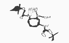 CC(C)(C)OC(=O)Nc1cccc(NC(=O)OC(C)(C)C)c1B(O)O